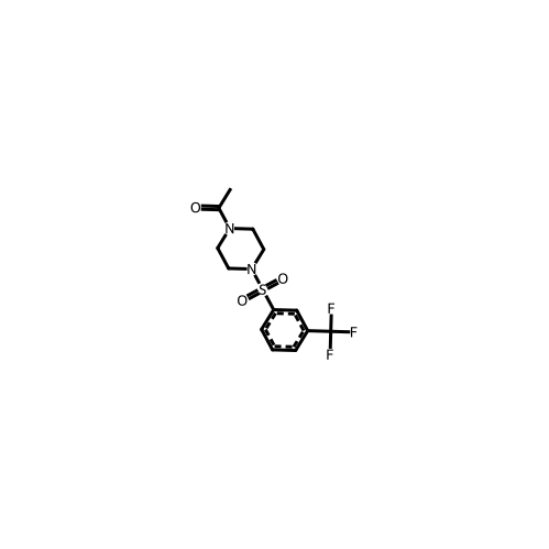 CC(=O)N1CCN(S(=O)(=O)c2cccc(C(F)(F)F)c2)CC1